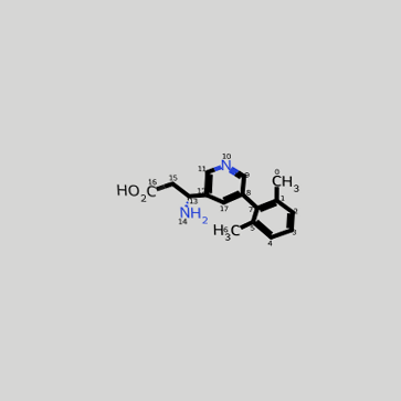 Cc1cccc(C)c1-c1cncc([C@H](N)CC(=O)O)c1